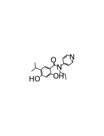 CCCN(C(=O)c1cc(C(C)C)c(O)cc1O)c1ccncc1